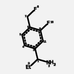 CCC(N)c1ccc(CF)c(F)c1